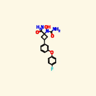 NC(=O)N(O)C1(C(N)=O)CC(c2cccc(Oc3ccc(F)cc3)c2)C1